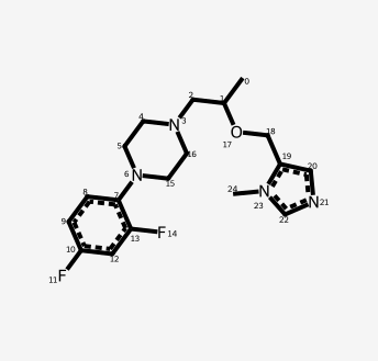 CC(CN1CCN(c2ccc(F)cc2F)CC1)OCc1cncn1C